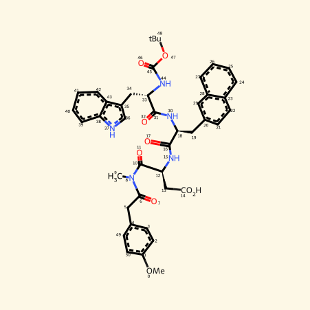 COc1ccc(CC(=O)N(C)C(=O)[C@H](CC(=O)O)NC(=O)[C@H](Cc2ccc3ccccc3c2)NC(=O)[C@H](Cc2c[nH]c3ccccc23)NC(=O)OC(C)(C)C)cc1